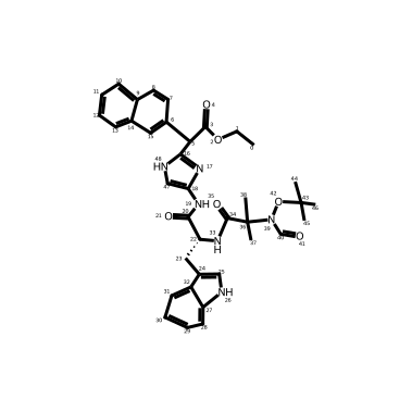 CCOC(=O)C(c1ccc2ccccc2c1)c1nc(NC(=O)[C@@H](Cc2c[nH]c3ccccc23)NC(=O)C(C)(C)N(C=O)OC(C)(C)C)c[nH]1